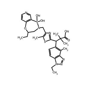 CCC1CN(Cc2nc(C(c3ccc4c(nnn4CC)c3C)C(C)(C)C(=O)O)sc2C)S(O)(O)c2cnccc2O1